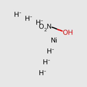 O=[N+]([O-])O.[H-].[H-].[H-].[H-].[H-].[H-].[Ni]